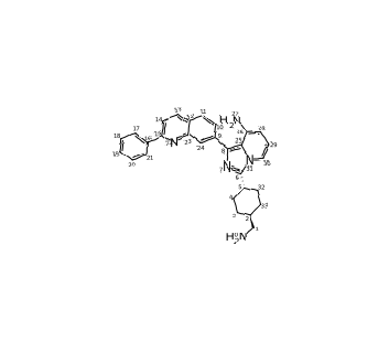 NC[C@H]1CC[C@H](c2nc(-c3ccc4ccc(-c5ccccc5)nc4c3)c3c(N)cccn32)CC1